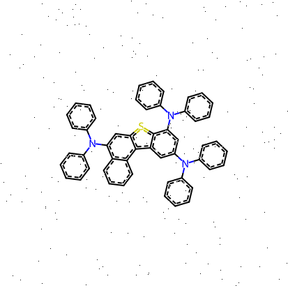 c1ccc(N(c2ccccc2)c2cc(N(c3ccccc3)c3ccccc3)c3sc4cc(N(c5ccccc5)c5ccccc5)c5ccccc5c4c3c2)cc1